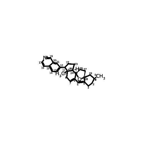 C[C@H]1CCC2=CC3=CCC4(C)C(c5ccc6ccncc6c5)CC[C@H]4[C@@]34CC[C@]2(C1)O4